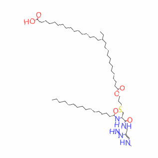 CCCCCCCCCCCCCCCC(=O)N[C@@H](CSCCCOC(=O)CCCCCCCCCCCCC(CC)CCCCCCCCCCCCCCCC(=O)O)C(=O)NC/C(=C/NC)N=N